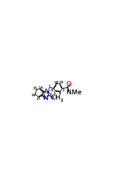 CNC(=O)c1ccc(Cn2c(C)nc3c2=CCCC=3)cc1